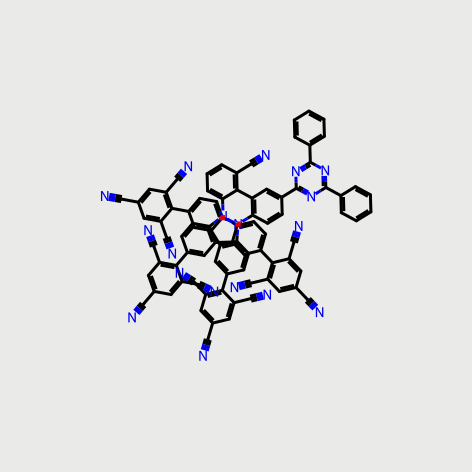 N#Cc1cc(C#N)c(-c2ccc3c(c2)c2cc(-c4c(C#N)cc(C#N)cc4C#N)ccc2n3-c2ccc(-c3nc(-c4ccccc4)nc(-c4ccccc4)n3)cc2-c2c(C#N)cccc2-n2c3ccc(-c4c(C#N)cc(C#N)cc4C#N)cc3c3cc(-c4c(C#N)cc(C#N)cc4C#N)ccc32)c(C#N)c1